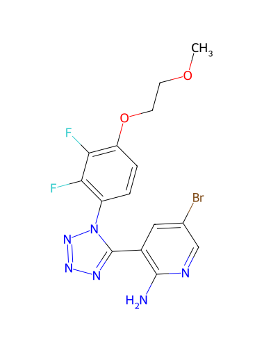 COCCOc1ccc(-n2nnnc2-c2cc(Br)cnc2N)c(F)c1F